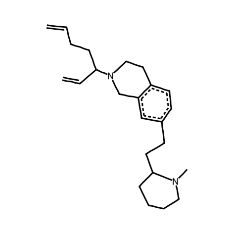 C=CCCC(C=C)N1CCc2ccc(CCC3CCCCN3C)cc2C1